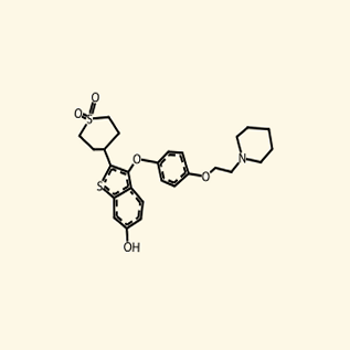 O=S1(=O)CCC(c2sc3cc(O)ccc3c2Oc2ccc(OCCN3CCCCC3)cc2)CC1